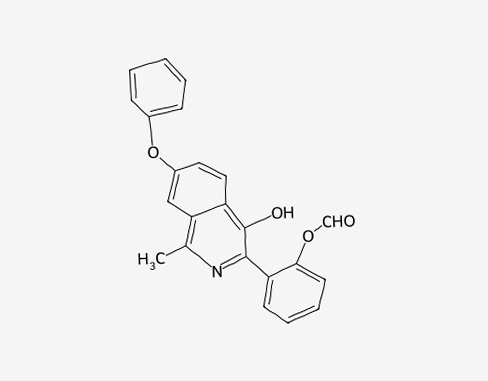 Cc1nc(-c2ccccc2OC=O)c(O)c2ccc(Oc3ccccc3)cc12